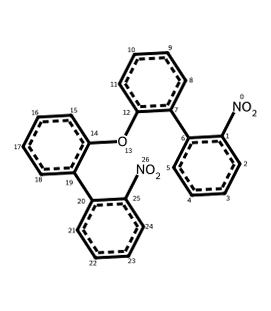 O=[N+]([O-])c1ccccc1-c1ccccc1Oc1ccccc1-c1ccccc1[N+](=O)[O-]